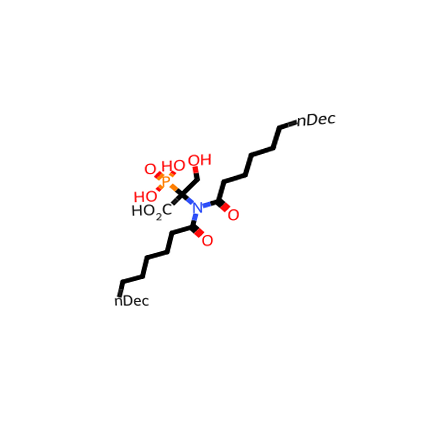 CCCCCCCCCCCCCCCC(=O)N(C(=O)CCCCCCCCCCCCCCC)C(CO)(C(=O)O)P(=O)(O)O